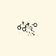 Cc1ccccc1CNC(=O)[C@H]1N(C(=O)[C@@H](O)[C@H](Cc2ccccc2)NC(=O)[C@@H](NC(=O)OCc2ccccc2)C(C)C)CSC1(C)C